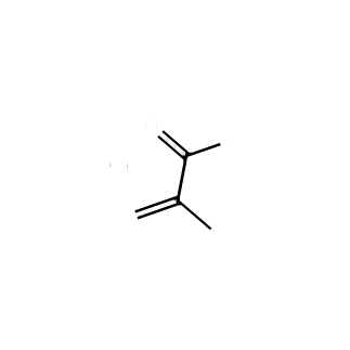 C=C(C)C(=O)[O-].[Cu+]